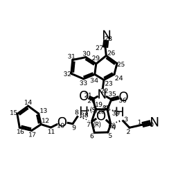 N#CCC[C@]12CC[C@](CCOCc3ccccc3)(O1)[C@H]1C(=O)N(c3ccc(C#N)c4ccccc34)C(=O)[C@H]12